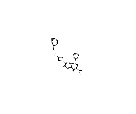 O=C(O)c1cn(-c2nccs2)c2nc(N3CC(NOCc4ccccc4)C3)c(F)cc2c1=O